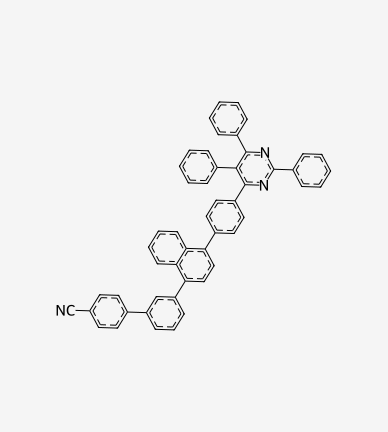 N#Cc1ccc(-c2cccc(-c3ccc(-c4ccc(-c5nc(-c6ccccc6)nc(-c6ccccc6)c5-c5ccccc5)cc4)c4ccccc34)c2)cc1